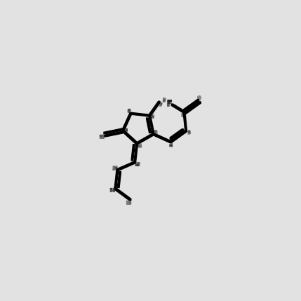 C=C(F)/C=C\C1=C(C)CC(=C)/C1=C\C=C/C